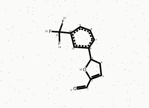 O=CC1=CCC(c2cccc(C(F)(F)F)c2)O1